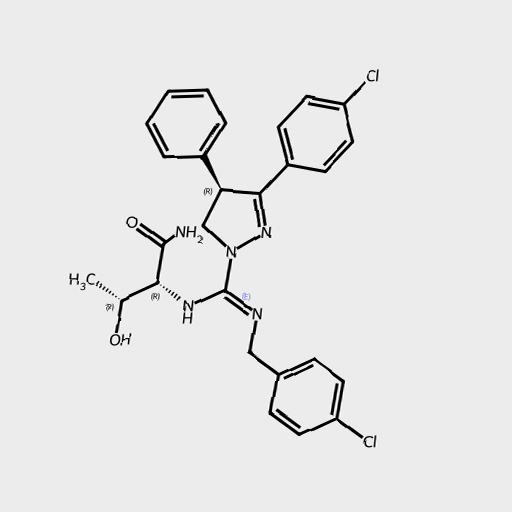 C[C@@H](O)[C@@H](N/C(=N\Cc1ccc(Cl)cc1)N1C[C@@H](c2ccccc2)C(c2ccc(Cl)cc2)=N1)C(N)=O